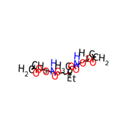 C=C(C)C(=O)OCCOCCNC(=O)OCCCC1C(CC)C2CC1C(C)(OC(=O)NCCOCCOC(=O)C(=C)C)C2